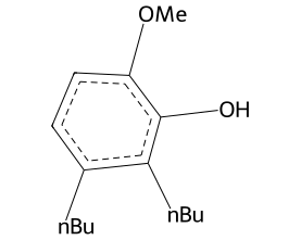 CCCCc1ccc(OC)c(O)c1CCCC